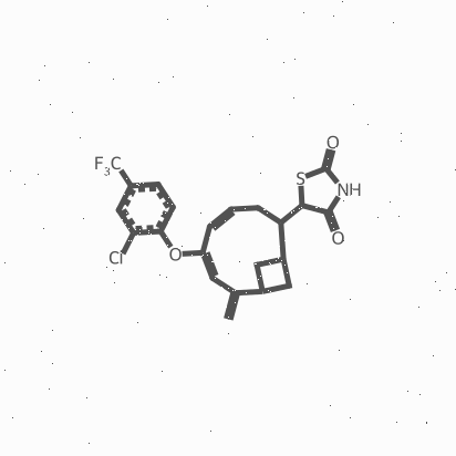 C=C1/C=C(Oc2ccc(C(F)(F)F)cc2Cl)\C=C/CC(C2SC(=O)NC2=O)C2CC1C2